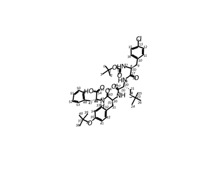 CC(C)(C)OC(=O)N[C@@H](Cc1ccc(Cl)cc1)C(=O)N[C@H](CSC(C)(C)C)C(=O)N[C@@H](Cc1ccc(OC(C)(C)C)cc1)C(=O)N[C@H](Cc1ccccc1)C(=O)O